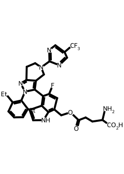 CCc1cccc(CC)c1-n1nc2c(c1-c1c(F)cc(COC(=O)CCC(N)C(=O)O)c3[nH]ccc13)CN(c1ncc(C(F)(F)F)cn1)CC2